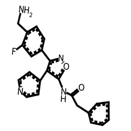 NCc1ccc(-c2noc(NC(=O)Cc3ccccc3)c2-c2ccncc2)cc1F